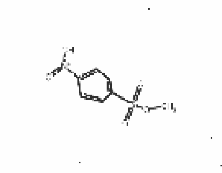 COS(=O)(=O)c1ccc([N+](=O)O)cc1